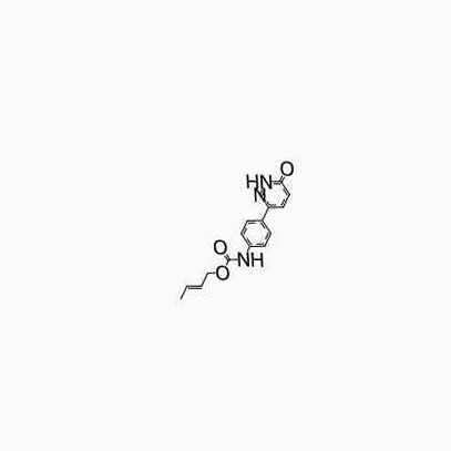 CC=CCOC(=O)Nc1ccc(-c2ccc(=O)[nH]n2)cc1